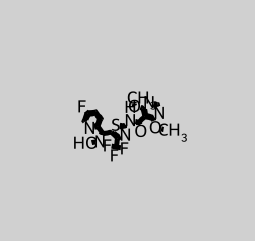 COc1ncnc(OC)c1C(=O)Nc1nc(C(F)(F)F)c(C(=NO)c2ccc(F)cn2)s1